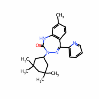 Cc1ccc2c(c1)NC(=O)N(C1CC(C)(C)CC(C)(C)C1)N=C2c1ccccn1